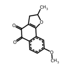 COc1ccc2c(c1)C1=C(CC(C)O1)C(=O)C2=O